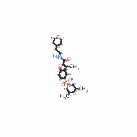 Cc1c(C(=O)NCCC2CCOCC2)oc2ccc(S(=O)(=O)N3CC(C)CC(C)C3)cc12